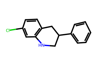 Clc1ccc2c(c1)NCC(c1ccccc1)C2